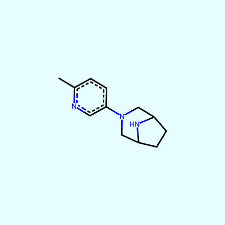 Cc1ccc(N2CC3CCC(C2)N3)cn1